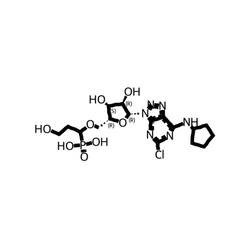 O=P(O)(O)C(CCO)OC[C@H]1O[C@@H](n2nnc3c(NC4CCCC4)nc(Cl)nc32)[C@H](O)[C@@H]1O